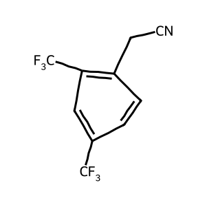 N#CCc1ccc(C(F)(F)F)cc1C(F)(F)F